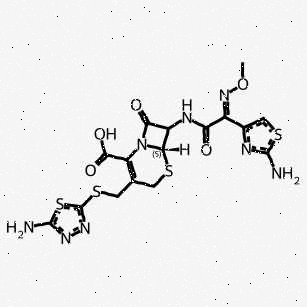 CON=C(C(=O)NC1C(=O)N2C(C(=O)O)=C(CSc3nnc(N)s3)CS[C@@H]12)c1csc(N)n1